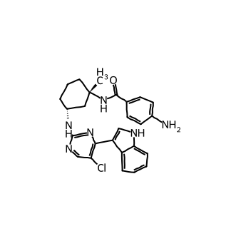 C[C@]1(NC(=O)c2ccc(N)cc2)CCC[C@@H](Nc2ncc(Cl)c(-c3c[nH]c4ccccc34)n2)C1